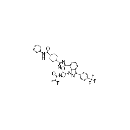 C=C(F)C(=O)N1CC(n2nc(-c3ccc(C(F)(F)F)cc3)c3cccc(-c4nc(C5CCC(C(=O)Nc6ccccc6)CC5)no4)c32)C1